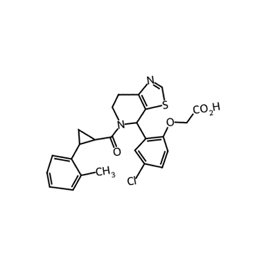 Cc1ccccc1C1CC1C(=O)N1CCc2ncsc2C1c1cc(Cl)ccc1OCC(=O)O